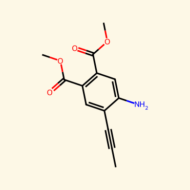 CC#Cc1cc(C(=O)OC)c(C(=O)OC)cc1N